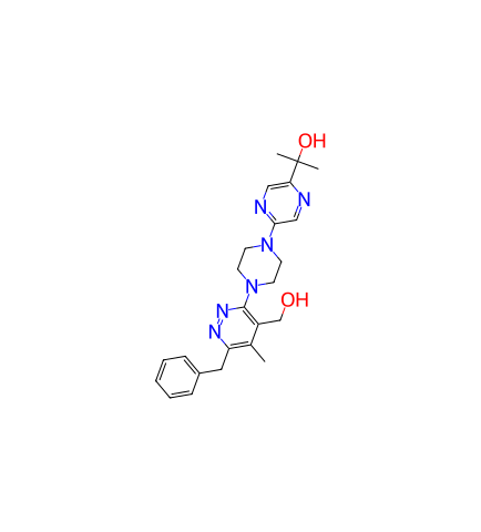 Cc1c(Cc2ccccc2)nnc(N2CCN(c3cnc(C(C)(C)O)cn3)CC2)c1CO